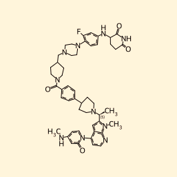 CNc1ccn(-c2ccnc3c2cc([C@H](C)N2CCC(c4ccc(C(=O)N5CCC(CN6CCN(c7ccc(NC8CCC(=O)NC8=O)cc7F)CC6)CC5)cc4)CC2)n3C)c(=O)c1